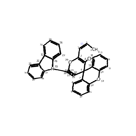 C/C=C\C1=C(C)C2(c3ccccc3Oc3ccccc32)c2cccc(-n3c4ccccc4c4ccccc43)c2O1